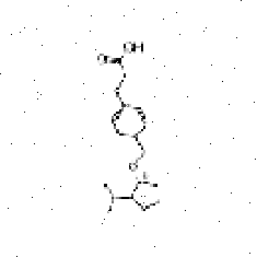 CC(C)C1CCC[C@H]1OCc1ccc(CCC(=O)O)cc1